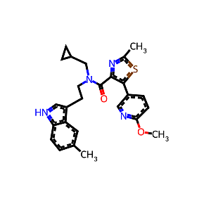 COc1ccc(-c2sc(C)nc2C(=O)N(CCc2c[nH]c3ccc(C)cc23)CC2CC2)cn1